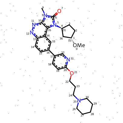 CO[C@H]1CC[C@H](n2c(=O)n(C)c3nnc4ccc(-c5ccc(OCCCN6CCCCC6)nc5)cc4c32)C1